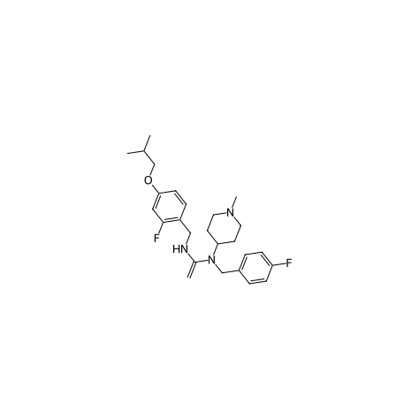 C=C(NCc1ccc(OCC(C)C)cc1F)N(Cc1ccc(F)cc1)C1CCN(C)CC1